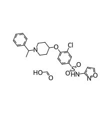 CC(c1ccccc1)N1CCC(Oc2ccc(S(=O)(=O)Nc3ccon3)cc2Cl)CC1.O=CO